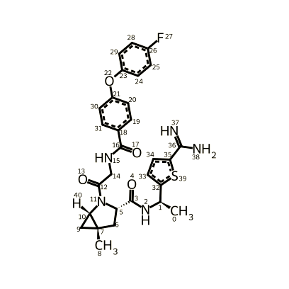 C[C@@H](NC(=O)[C@@H]1C[C@]2(C)C[C@@H]2N1C(=O)CNC(=O)c1ccc(Oc2ccc(F)cc2)cc1)c1ccc(C(=N)N)s1